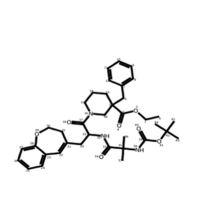 CCOC(=O)C1(Cc2ccccc2)CCCN(C(=O)C(CC2=Cc3ccccc3OCC2)NC(=O)C(C)(C)NC(=O)OC(C)(C)C)C1